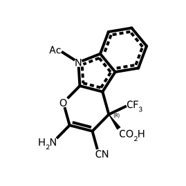 CC(=O)n1c2c(c3ccccc31)[C@](C(=O)O)(C(F)(F)F)C(C#N)=C(N)O2